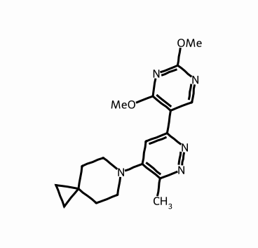 COc1ncc(-c2cc(N3CCC4(CC3)CC4)c(C)nn2)c(OC)n1